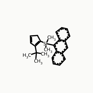 CC(C)(C)C1=C([Si](C)(C)c2c3ccccc3cc3ccccc23)CC=C1